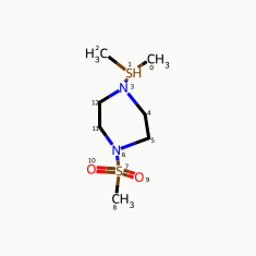 C[SH](C)N1CCN(S(C)(=O)=O)CC1